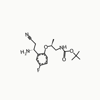 C[C@@H](CNC(=O)OC(C)(C)C)Oc1ccc(F)cc1[C@H](N)CC#N